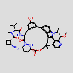 CCn1c(-c2cccnc2[C@H](C)OC)c2c3cc(ccc31)-c1cc(O)cc(c1)C[C@H](NC(=O)[C@H](C(C)C)N(C)C(=O)[C@H]1CC[C@@H]1N)C(=O)N1CCC[C@@](O)(N1)C(=O)OCC(C)(C)C2